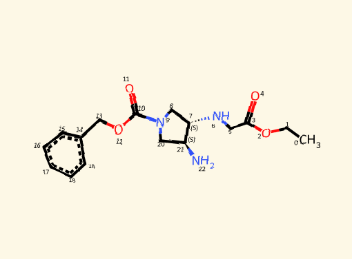 CCOC(=O)CN[C@H]1CN(C(=O)OCc2ccccc2)C[C@@H]1N